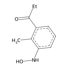 CCC(=O)c1cccc(NO)c1C